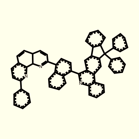 C1=CC2C=Cc3ccc(-c4ccccc4)nc3C2N=C1c1ccc(-c2nc3ccccc3c3cc4c(cc23)-c2ccccc2C4(c2ccccc2)c2ccccc2)c2ccccc12